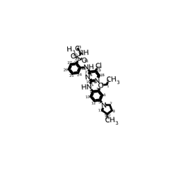 CCOc1cc(N2CC[C@@H](C)C2)ccc1Nc1ncc(Cl)c(Nc2ccccc2S(=O)(=O)NC)n1